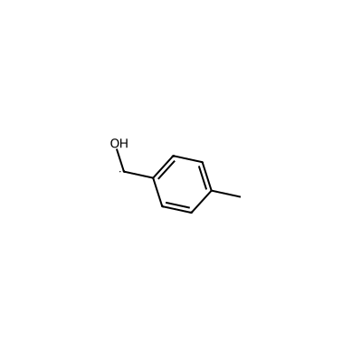 Cc1ccc([CH]O)cc1